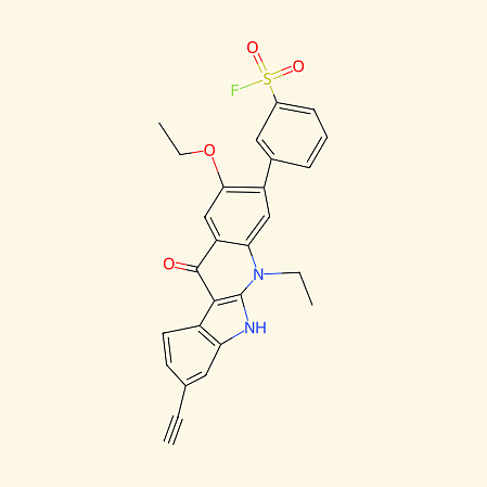 C#Cc1ccc2c(c1)[nH]c1c2c(=O)c2cc(OCC)c(-c3cccc(S(=O)(=O)F)c3)cc2n1CC